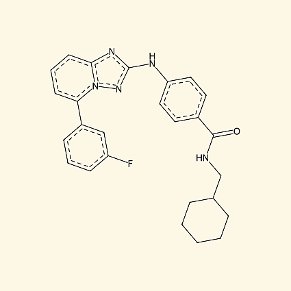 O=C(NCC1CCCCC1)c1ccc(Nc2nc3cccc(-c4cccc(F)c4)n3n2)cc1